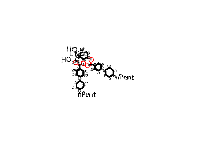 CCCCC[C@H]1CC[C@H](c2ccc(C(=O)O[C@H](CC(=O)O)[C@H](OC(=O)c3ccc([C@H]4CC[C@H](CCCCC)CC4)cc3)C(CC)(CC)C(=O)O)cc2)CC1